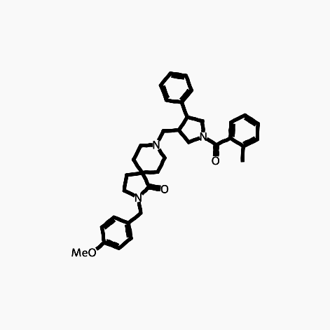 COc1ccc(CN2CCC3(CCN(CC4CN(C(=O)c5ccccc5C)CC4c4ccccc4)CC3)C2=O)cc1